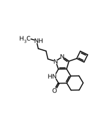 CNCCCn1nc(C2=CC=C2)c2c3c(c(=O)[nH]c21)CCCC3